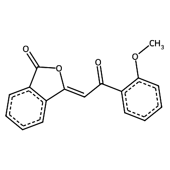 COc1ccccc1C(=O)C=C1OC(=O)c2ccccc21